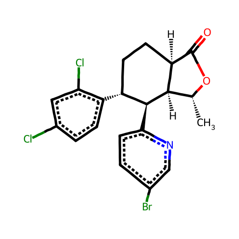 C[C@H]1OC(=O)[C@@H]2CC[C@@H](c3ccc(Cl)cc3Cl)[C@H](c3ccc(Br)cn3)[C@H]12